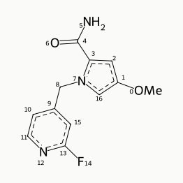 COc1cc(C(N)=O)n(Cc2ccnc(F)c2)c1